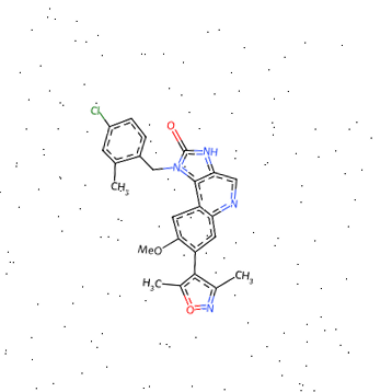 COc1cc2c(cc1-c1c(C)noc1C)ncc1[nH]c(=O)n(Cc3ccc(Cl)cc3C)c12